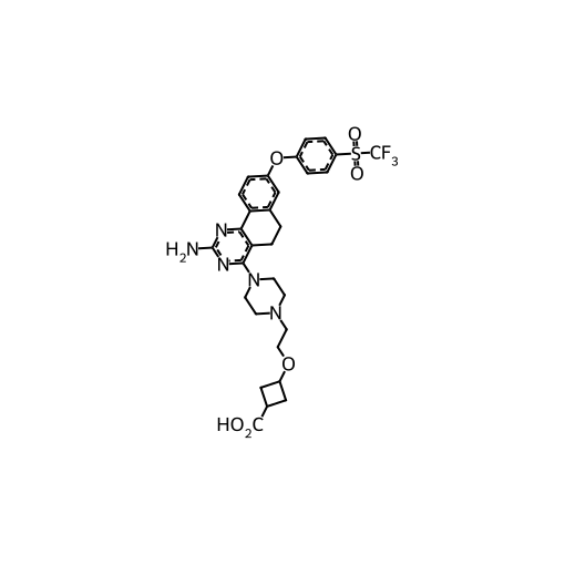 Nc1nc2c(c(N3CCN(CCOC4CC(C(=O)O)C4)CC3)n1)CCc1cc(Oc3ccc(S(=O)(=O)C(F)(F)F)cc3)ccc1-2